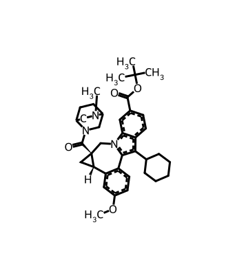 COc1ccc2c(c1)[C@@H]1C[C@]1(C(=O)N1CC3CCC1CN3C)Cn1c-2c(C2CCCCC2)c2ccc(C(=O)OC(C)(C)C)cc21